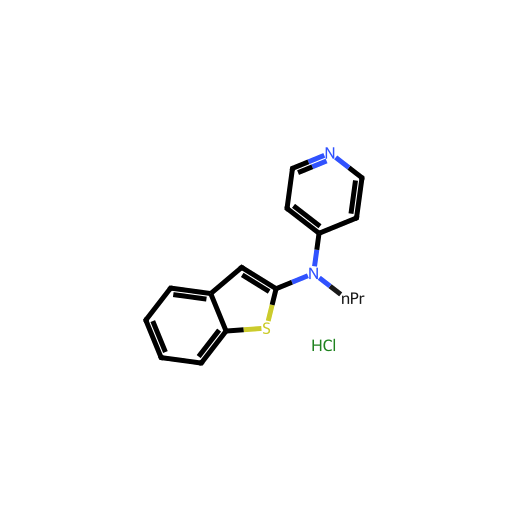 CCCN(c1ccncc1)c1cc2ccccc2s1.Cl